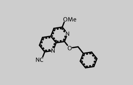 COc1cc2ccc(C#N)nc2c(OCc2ccccc2)n1